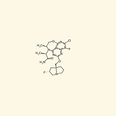 C[C@H](C(N)=O)N1c2nc(OC[C@@]34CCCN3C[C@H](F)C4)nc3c(F)c(Cl)nc(c23)OC[C@@H]1C